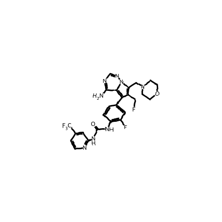 Nc1ncnn2c(CN3CCOCC3)c(CF)c(-c3ccc(NC(=O)Nc4cc(C(F)(F)F)ccn4)c(F)c3)c12